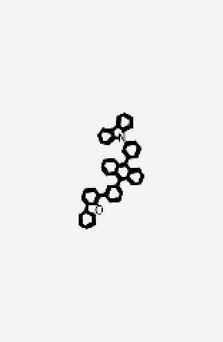 C1=CC2Oc3c(-c4cccc(-c5c6ccccc6c(-c6cccc(-n7c8ccccc8c8ccccc87)c6)c6ccccc56)c4)cccc3C2C=C1